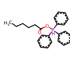 CCCCCC(=O)O[PH](c1ccccc1)(c1ccccc1)c1ccccc1